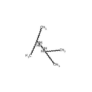 CCCCCCCCCCCCCC(CCCCCCCCCCCCC)NCCNCCNCCNC(CCCCCCCCCCCCC)CCCCCCCCCCCCC